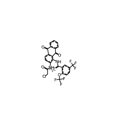 C=C(Nc1c(NC(=O)CCl)ccc2c1C(=O)c1ccccc1C2=O)c1cc(C(F)(F)F)ccc1OC(F)(F)F